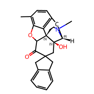 Cc1ccc2c3c1OC1C(=O)C4(Cc5ccccc5C4)C[C@@]4(O)[C@@H](C2)N(C)CC[C@]314